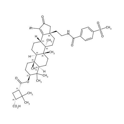 CC(C)C1=C2[C@H]3CC[C@@H]4[C@@]5(C)CC[C@H](OC(=O)[C@H]6C[C@@H](C(=O)O)C6(C)C)C(C)(C)[C@@H]5CC[C@@]4(C)[C@]3(C)CC[C@@]2(CCNC(=O)c2ccc(S(C)(=O)=O)cc2)CC1=O